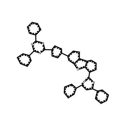 c1ccc(-c2cc(-c3ccccc3)nc(-c3cccc4c3oc3cc(-c5ccc(-c6nc(-c7ccccc7)nc(-c7ccccc7)n6)cc5)ccc34)n2)cc1